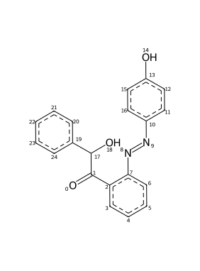 O=C(c1ccccc1N=Nc1ccc(O)cc1)C(O)c1ccccc1